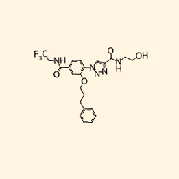 O=C(NCC(F)(F)F)c1ccc(-n2cc(C(=O)NCCO)nn2)c(OCCCc2ccccc2)c1